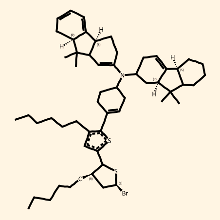 CCCCCCc1cc(C2S[C@@H](Br)C[C@H]2CCCCCC)sc1C1=CCC(N(C2=CC3[C@H](CC2)C2=CC=CC[C@@H]2C3(C)C)C2CC=C3[C@H]4CCCCC4C(C)(C)[C@H]3C2)CC1